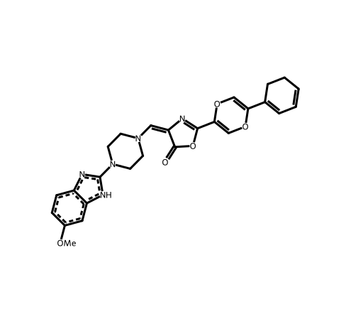 COc1ccc2nc(N3CCN(C=C4N=C(C5=COC(C6=CC=CCC6)=CO5)OC4=O)CC3)[nH]c2c1